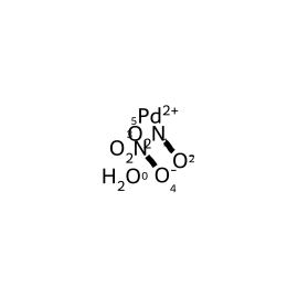 O.O=[N+]([O-])[O-].O=[N+]([O-])[O-].[Pd+2]